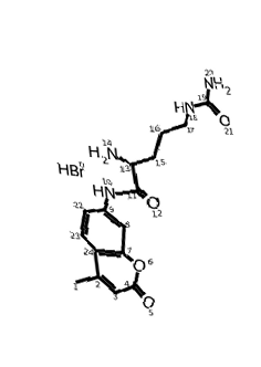 Br.Cc1cc(=O)oc2cc(NC(=O)[C@@H](N)CCCNC(N)=O)ccc12